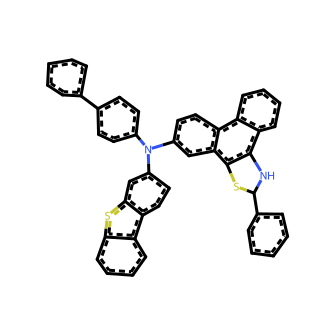 c1ccc(-c2ccc(N(c3ccc4c(c3)sc3ccccc34)c3ccc4c(c3)c3c(c5ccccc54)NC(c4ccccc4)S3)cc2)cc1